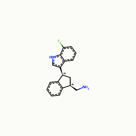 NC[C@@H]1C[C@H](c2c[nH]c3c(F)cccc23)c2ccccc21